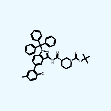 CC(C)(C)OC(=O)N1CCC[C@@H](C(=O)Nc2nn(C(c3ccccc3)(c3ccccc3)c3ccccc3)c3ccc(-c4cc(F)ccc4Cl)cc23)C1